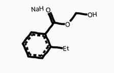 CCc1ccccc1C(=O)OCO.[NaH]